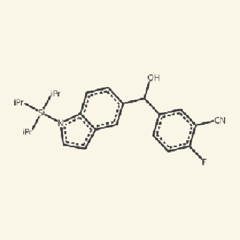 CC(C)[Si](C(C)C)(C(C)C)n1ccc2cc(C(O)c3ccc(F)c(C#N)c3)ccc21